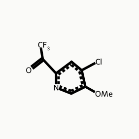 COc1cnc(C(=O)C(F)(F)F)cc1Cl